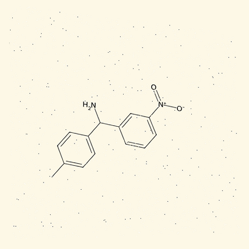 Cc1ccc(C(N)c2cccc([N+](=O)[O-])c2)cc1